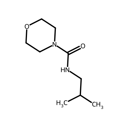 CC(C)CNC(=O)N1CCOCC1